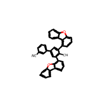 N#Cc1cccc(-c2cc(-c3cccc4c3oc3ccccc34)c(C#N)c(-c3cccc4oc5ccccc5c34)c2)c1